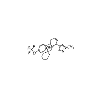 Cn1cc(C2N=CC=C(c3ccc(OC(F)(F)F)cc3)N2CC2(O)CCCCC2)cn1